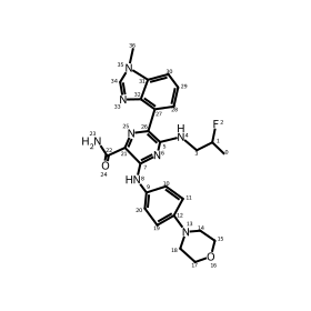 CC(F)CNc1nc(Nc2ccc(N3CCOCC3)cc2)c(C(N)=O)nc1-c1cccc2c1ncn2C